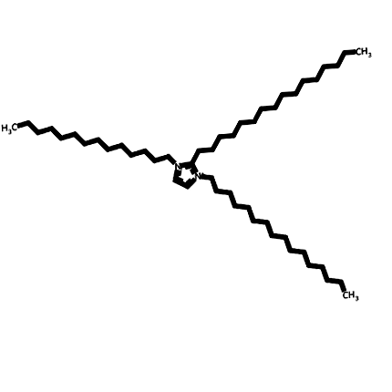 CCCCCCCCCCCCCCCCc1n(CCCCCCCCCCCCCC)cc[n+]1CCCCCCCCCCCCCCCC